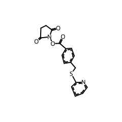 O=C(ON1C(=O)CCC1=O)c1ccc(CSc2ccccn2)cc1